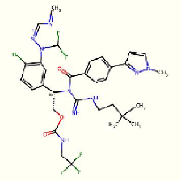 C=N/C=N\N(c1cc([C@@H](COC(=O)NCC(F)(F)F)N(C(=N)NCCC(C)(C)C)C(=O)c2ccc(-c3ccn(C)n3)cc2)ccc1Cl)C(F)F